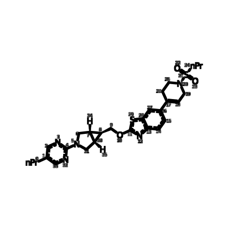 CCCc1cnc(N2C[C@@H]3[C@@H](COc4nc5ccc(C6=CCN(S(=O)(=O)CCC)CC6)cc5s4)[C@@H]3C2)nc1